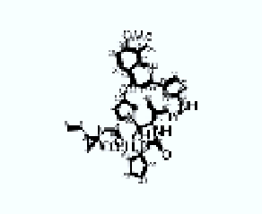 C=C[C@@H]1C[C@]1(NC(=O)[C@@H]1C[C@@H](Oc2cc(-c3csc(NC(C)C)n3)nc3c(C)c(OC)ccc23)CN1C(=O)[C@@H](NC(=O)NC1CCCC1)C(=C)C)C(=O)O